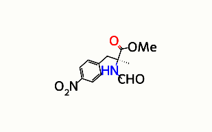 COC(=O)[C@](C)(Cc1ccc([N+](=O)[O-])cc1)NC=O